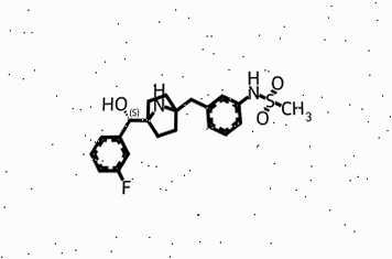 CS(=O)(=O)Nc1cccc(CC23CCC([C@@H](O)c4cccc(F)c4)(CC2)N3)c1